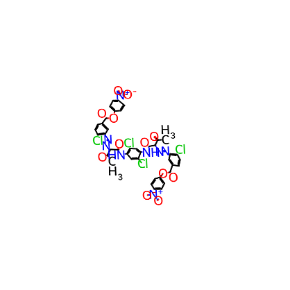 CC(=O)C(/N=N/c1cc(C(=O)Oc2ccc([N+](=O)[O-])cc2)ccc1Cl)C(=O)Nc1cc(Cl)c(NC(=O)C(/N=N/c2cc(C(=O)Oc3ccc([N+](=O)[O-])cc3)ccc2Cl)C(C)=O)cc1Cl